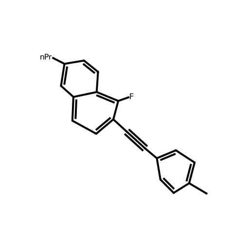 CCCc1ccc2c(F)c(C#Cc3ccc(C)cc3)ccc2c1